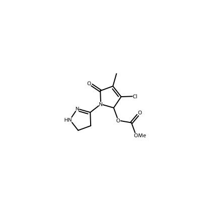 COC(=O)OC1C(Cl)=C(C)C(=O)N1C1=NNCC1